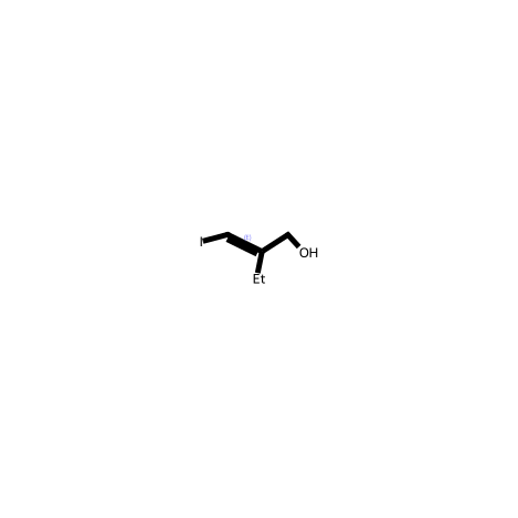 CC/C(=C\I)CO